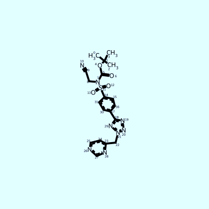 CC(C)(C)OC(=O)N(CC#N)S(=O)(=O)c1ccc(-c2nnn(Cc3ccncn3)n2)cc1